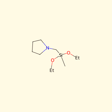 CCO[Si](C)(CN1CCCC1)OCC